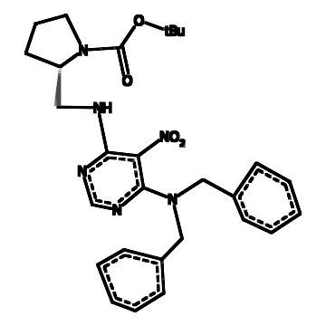 CC(C)(C)OC(=O)N1CCC[C@H]1CNc1ncnc(N(Cc2ccccc2)Cc2ccccc2)c1[N+](=O)[O-]